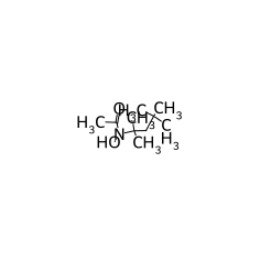 CC(=O)N(O)C(C)(C)CC(C)(C)C